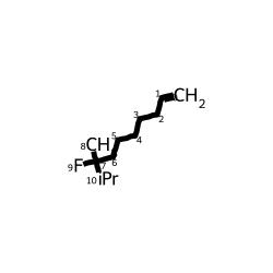 C=CCCCCCC(C)(F)C(C)C